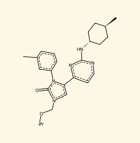 Cc1cccc(-n2c(-c3ccnc(N[C@H]4CC[C@H](C)CC4)n3)cn(COC(C)C)c2=O)c1